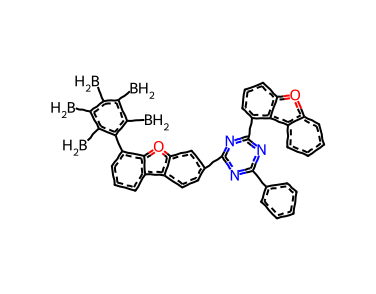 Bc1c(B)c(B)c(-c2cccc3c2oc2cc(-c4nc(-c5ccccc5)nc(-c5cccc6oc7ccccc7c56)n4)ccc23)c(B)c1B